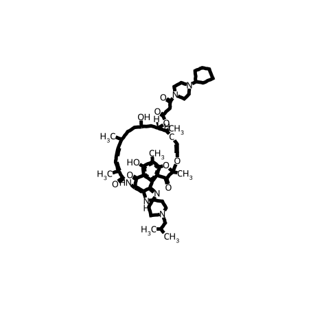 C/C1=C/C=C/C(C)CCC(O)C[C@H](OC(=O)CC(=O)N2CCN(C3CCCCC3)CC2)[C@H](C)C/C=C/OC2(C)Oc3c(C)c(O)c4c(c3C2=O)C2=NC3(CCN(CC(C)C)CC3)NC2=C(NC1=O)C4=O